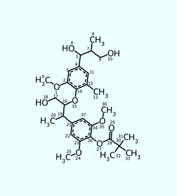 COc1cc(C(O)C(C)CO)cc(C)c1OC(CO)C(C)c1cc(OC)c(OC(=O)C(C)(C)C)c(OC)c1